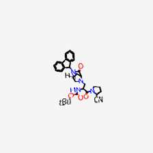 CC(C)(C)OC(=O)NC(CN1C[C@@H]2CC1C(=O)N2C1c2ccccc2-c2ccccc21)C(=O)N1CCCC1C#N